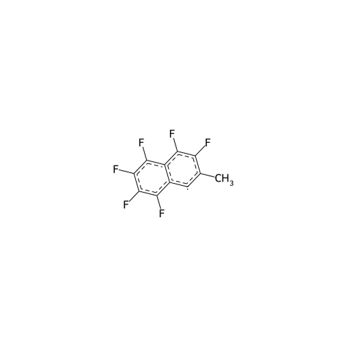 Cc1[c]c2c(F)c(F)c(F)c(F)c2c(F)c1F